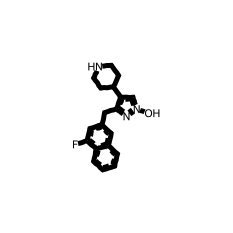 On1cc(C2CCNCC2)c(Cc2cc(F)c3ccccc3c2)n1